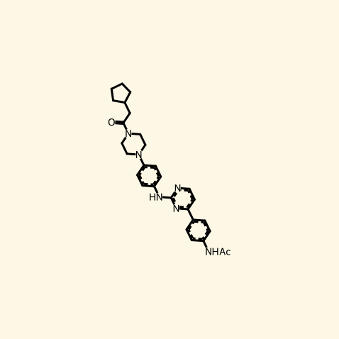 CC(=O)Nc1ccc(-c2ccnc(Nc3ccc(N4CCN(C(=O)CC5CCCC5)CC4)cc3)n2)cc1